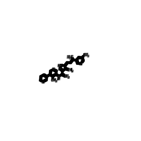 C=C(Nc1cncc(-c2cccnc2)c1C)c1n[nH]/c(=C/C=C(\C)c2cncc(C)c2)c1=C